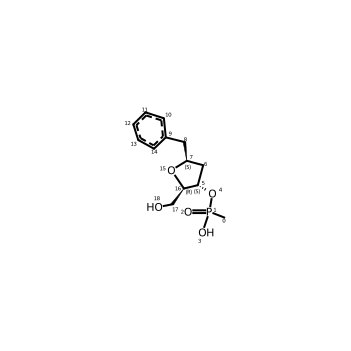 CP(=O)(O)O[C@H]1C[C@H](Cc2ccccc2)O[C@@H]1CO